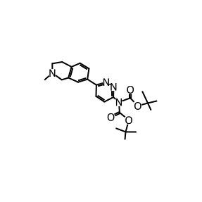 CN1CCc2ccc(-c3ccc(N(C(=O)OC(C)(C)C)C(=O)OC(C)(C)C)nn3)cc2C1